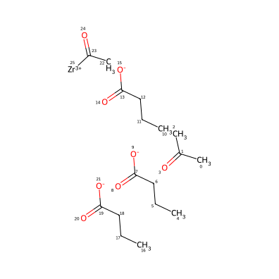 CC(C)=O.CCCC(=O)[O-].CCCC(=O)[O-].CCCC(=O)[O-].C[C](=O)[Zr+3]